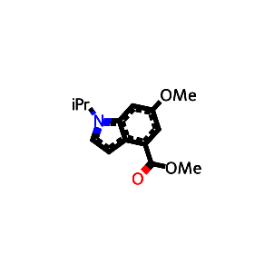 COC(=O)c1cc(OC)cc2c1ccn2C(C)C